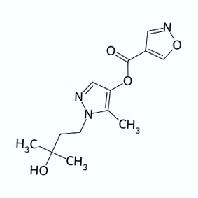 Cc1c(OC(=O)c2cnoc2)cnn1CCC(C)(C)O